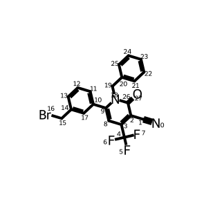 N#Cc1c(C(F)(F)F)cc(-c2cccc(CBr)c2)n(Cc2ccccc2)c1=O